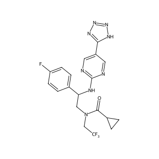 O=C(C1CC1)N(CC(Nc1ncc(-c2nnn[nH]2)cn1)c1ccc(F)cc1)CC(F)(F)F